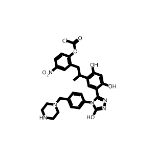 CC(Cc1cc([N+](=O)[O-])ccc1OC(=O)Cl)c1cc(-c2nnc(O)n2-c2ccc(CN3CCNCC3)cc2)c(O)cc1O